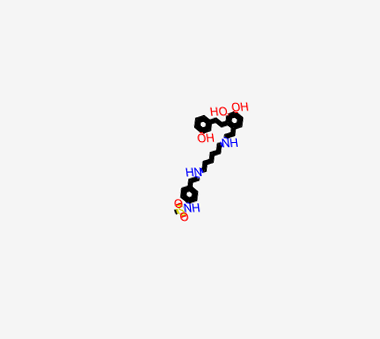 CS(=O)(=O)Nc1ccc(CCNCCCCCCNCCc2ccc(O)c(O)c2CCc2cccc(O)c2)cc1